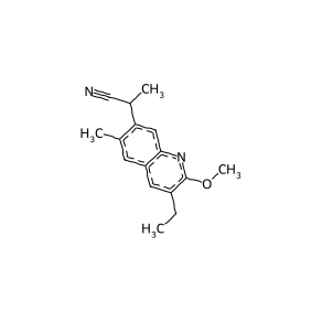 CCc1cc2cc(C)c(C(C)C#N)cc2nc1OC